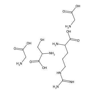 N=C(N)NCCCC(N)C(=O)O.NC(CS)C(=O)O.NCC(=O)O.NCC(=O)O